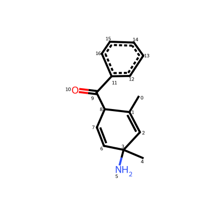 CC1=CC(C)(N)C=CC1C(=O)c1ccccc1